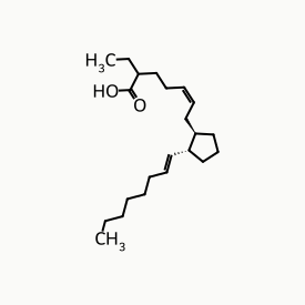 CCCCCC/C=C/[C@H]1CCC[C@@H]1C/C=C\CCC(CC)C(=O)O